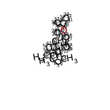 Cc1cccc(C)c1-c1cc(-c2cccc(-c3cccc(-c4cccc5c4Oc4cc6ccccc6c6cccc-5c46)c3)c2)cc(-c2c(C(C)C)cccc2C(C)C)c1